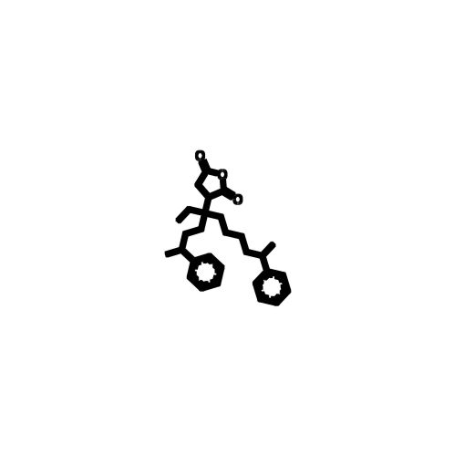 CCC(CCCCC(C)c1ccccc1)(CCC(C)c1ccccc1)C1CC(=O)OC1=O